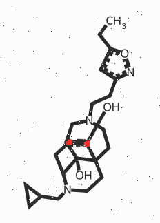 CCc1cc(CCN2CCC34CCN(CC5CC5)C(Cc5ccc(O)cc53)C4(O)CC2)no1